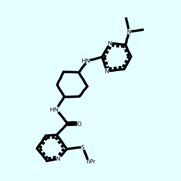 CCCSc1ncccc1C(=O)NC1CCC(Nc2nccc(N(C)C)n2)CC1